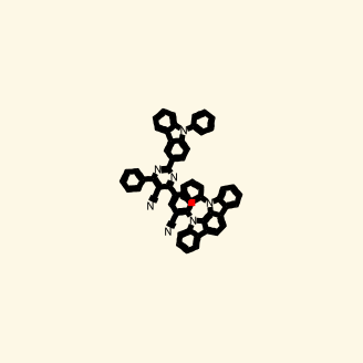 N#Cc1cc(-c2nc(-c3ccc4c(c3)c3ccccc3n4-c3ccccc3)nc(-c3ccccc3)c2C#N)ccc1-n1c2ccccc2c2ccc3c4ccccc4n(-c4ccccc4)c3c21